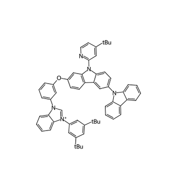 CC(C)(C)c1cc(-[n+]2cn(-c3cccc(Oc4ccc5c6cc(-n7c8ccccc8c8ccccc87)ccc6n(-c6cc(C(C)(C)C)ccn6)c5c4)c3)c3ccccc32)cc(C(C)(C)C)c1